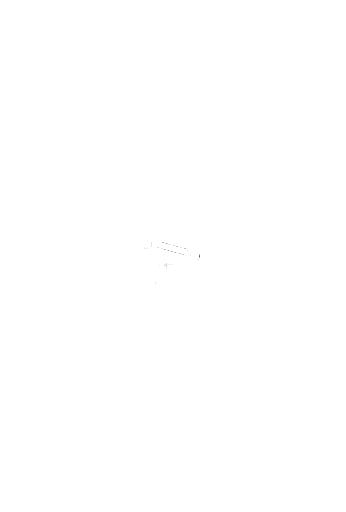 [Hg].[O]=[Zn].[TeH2]